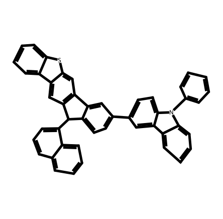 c1ccc(-n2c3ccccc3c3cc(-c4ccc5c(c4)-c4cc6sc7ccccc7c6cc4C5c4cccc5ccccc45)ccc32)cc1